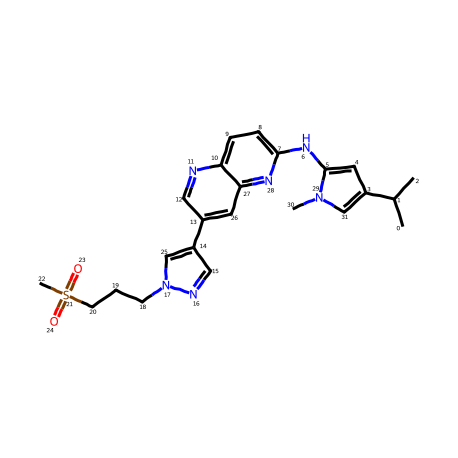 CC(C)c1cc(Nc2ccc3ncc(-c4cnn(CCCS(C)(=O)=O)c4)cc3n2)n(C)c1